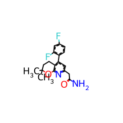 CC1(C)CCc2c(-c3ccc(F)cc3F)cc(CC(N)=O)nc2O1